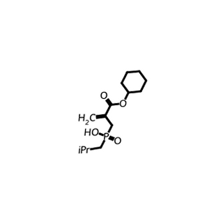 C=C(CP(=O)(O)CC(C)C)C(=O)OC1CCCCC1